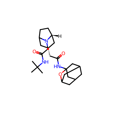 CC(C)(C)NC(=O)CN1C2CC[C@@H]1C[C@H](CC(=O)NC13CC4CC(CC(C4)O1)C3)C2